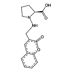 O=C(O)[C@@H]1CCCN1NCc1cc2ccccc2oc1=O